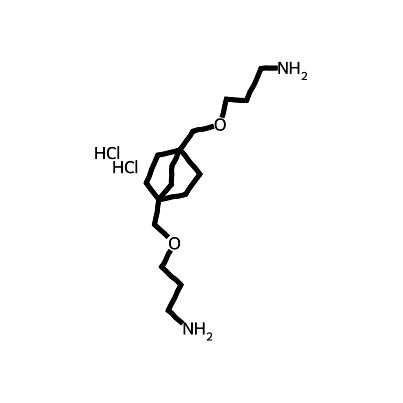 Cl.Cl.NCCCOCC12CCC(COCCCN)(CC1)CC2